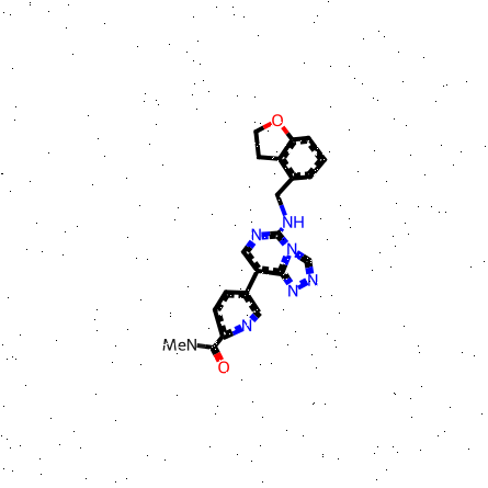 CNC(=O)c1ccc(-c2cnc(NCc3cccc4c3CCO4)n3cnnc23)cn1